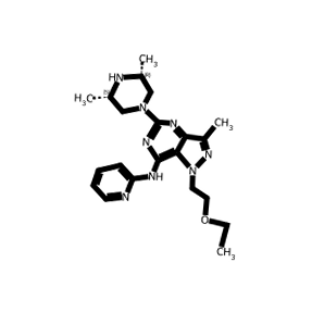 CCOCCn1nc(C)c2nc(N3C[C@@H](C)N[C@@H](C)C3)nc(Nc3ccccn3)c21